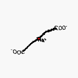 O=C([O-])CCCCCCCCCCCCCCCCCCSSCCCCCCCCCCCCCCCCCCC(=O)[O-].[Na+].[Na+]